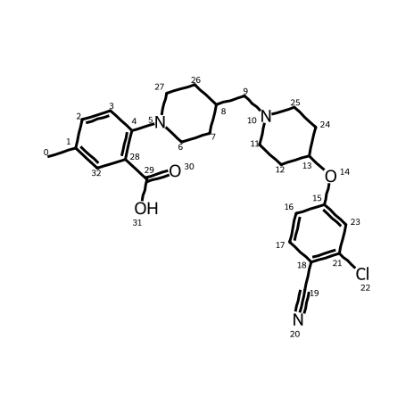 Cc1ccc(N2CCC(CN3CCC(Oc4ccc(C#N)c(Cl)c4)CC3)CC2)c(C(=O)O)c1